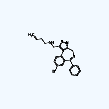 C=CCCNCc1nnc2n1-c1ccc(Br)cc1C(c1ccccc1)=NC2